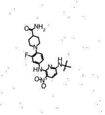 CC(C)(C)Nc1ccc([N+](=O)[O-])c(Nc2ccc(N3CCC(C(N)=O)CC3)c(F)c2)n1